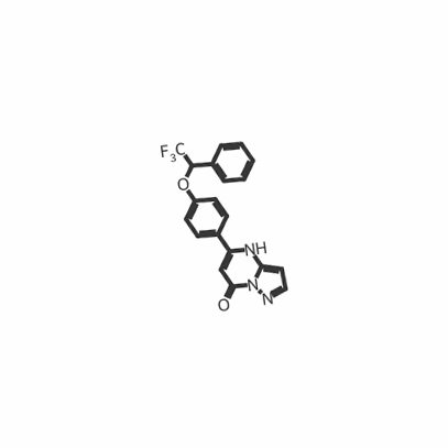 O=c1cc(-c2ccc(OC(c3ccccc3)C(F)(F)F)cc2)[nH]c2ccnn12